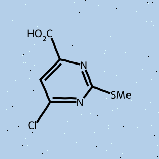 CSc1nc(Cl)cc(C(=O)O)n1